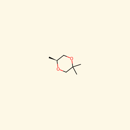 C[C@H]1COC(C)(C)CO1